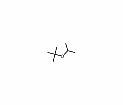 CC(C)OC(C)(C)C